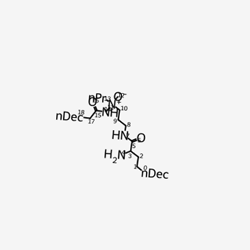 CCCCCCCCCCCCC(N)C(=O)NCCC[N+]([O-])(CCC)NC(=O)CCCCCCCCCCC